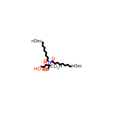 CCCCCCCCCCCCCCCCCC(=O)N(C(=O)CCCCCCCCCCCCCCCCC)C(CS)(C(=O)O)C(=O)[C@@H](O)CO